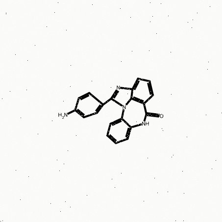 Nc1ccc(-c2nc3cccc4c3n2-c2ccccc2NC4=O)cc1